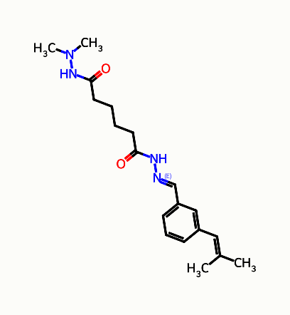 CC(C)=Cc1cccc(/C=N/NC(=O)CCCCC(=O)NN(C)C)c1